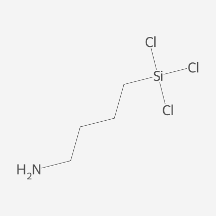 NCCCC[Si](Cl)(Cl)Cl